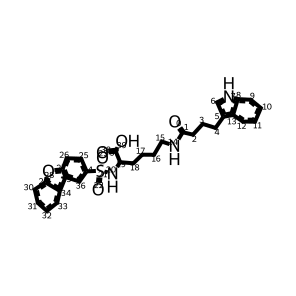 O=C(CCCc1c[nH]c2ccccc12)NCCCCC(NS(=O)(=O)c1ccc2oc3ccccc3c2c1)C(=O)O